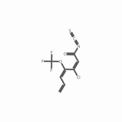 C=C/C=C(OC(F)(F)F)\C(Cl)=C/C(=O)N=C=S